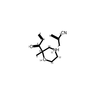 C=C(C)C#N.C=CC(=O)C1(C)CNCCO1